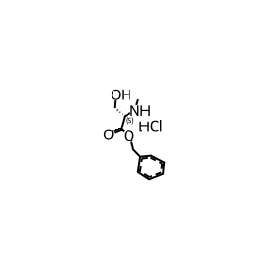 CN[C@@H](CO)C(=O)OCc1ccccc1.Cl